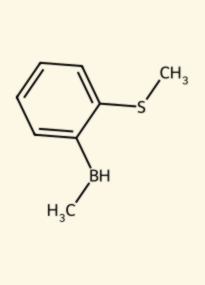 CBc1ccccc1SC